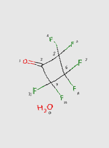 O.O=C1C(F)(F)C(F)(F)C1(F)F